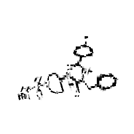 CC(C)(C)NS(=O)(=O)N1CCC(NC(=O)[C@H](Cc2ccccc2)NC(=O)c2ccc(F)cc2)CC1